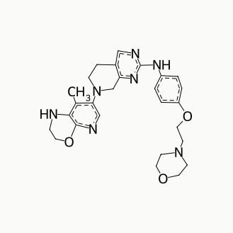 Cc1c(N2CCc3cnc(Nc4ccc(OCCN5CCOCC5)cc4)nc3C2)cnc2c1NCCO2